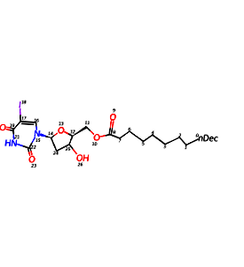 CCCCCCCCCCCCCCCCCC(=O)OC[C@@H]1O[C@H](n2cc(I)c(=O)[nH]c2=O)CC1O